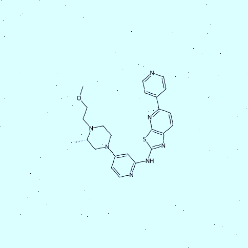 COCCN1CCN(c2ccnc(Nc3nc4ccc(-c5ccncc5)nc4s3)c2)C[C@@H]1C